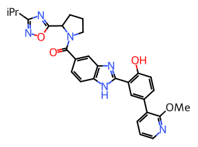 COc1ncccc1-c1ccc(O)c(-c2nc3cc(C(=O)N4CCCC4c4nc(C(C)C)no4)ccc3[nH]2)c1